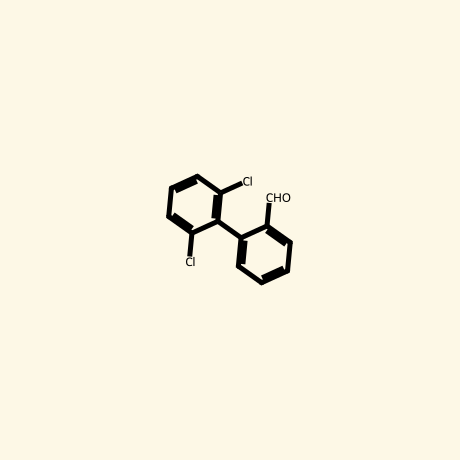 O=Cc1ccccc1-c1c(Cl)cccc1Cl